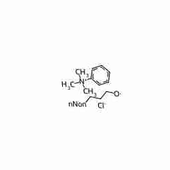 CCCCCCCCCCCC[O].C[N+](C)(C)c1ccccc1.[Cl-]